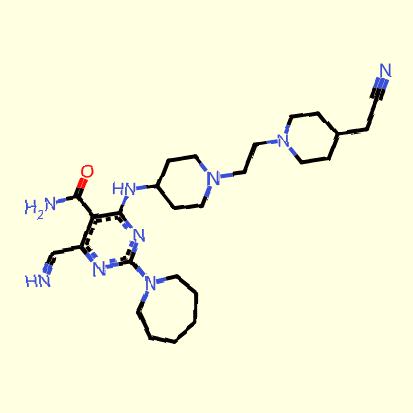 N#CCC1CCN(CCN2CCC(Nc3nc(N4CCCCCC4)nc(C=N)c3C(N)=O)CC2)CC1